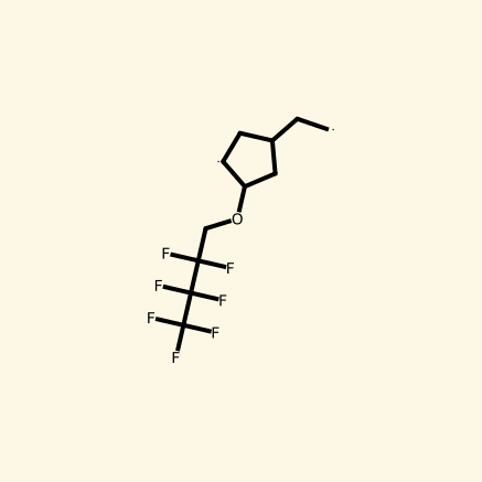 [CH2]CC1C[CH]C(OCC(F)(F)C(F)(F)C(F)(F)F)C1